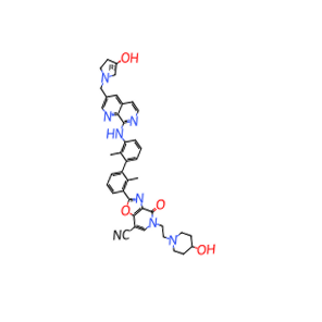 Cc1c(Nc2nccc3cc(CN4CC[C@@H](O)C4)cnc23)cccc1-c1cccc(-c2nc3c(=O)n(CCN4CCC(O)CC4)cc(C#N)c3o2)c1C